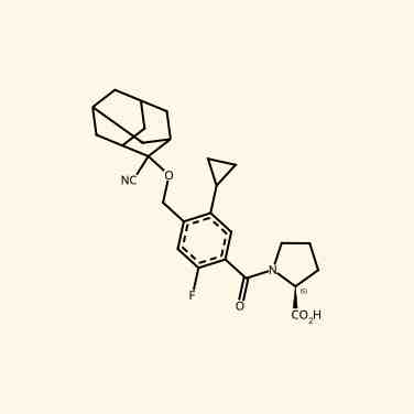 N#CC1(OCc2cc(F)c(C(=O)N3CCC[C@H]3C(=O)O)cc2C2CC2)C2CC3CC(C2)CC1C3